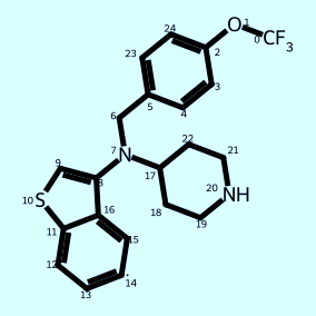 FC(F)(F)Oc1ccc(CN(c2csc3cc[c]cc23)C2CCNCC2)cc1